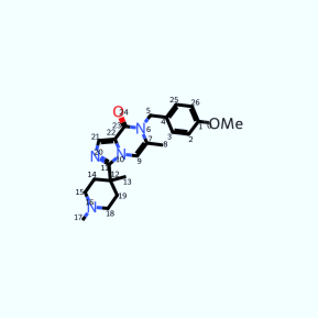 COc1ccc(Cn2c(C)cn3c(C4(C)CCN(C)CC4)ncc3c2=O)cc1